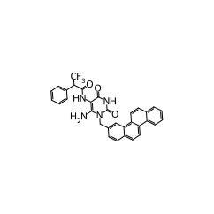 Nc1c(NC(=O)C(c2ccccc2)C(F)(F)F)c(=O)[nH]c(=O)n1Cc1ccc2ccc3c4ccccc4ccc3c2c1